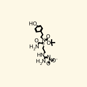 CC(C)(C)OC(=O)N(CCc1ccc(O)cc1)[C@H](CCCNC(N)=N[N+](=O)[O-])C(N)=O